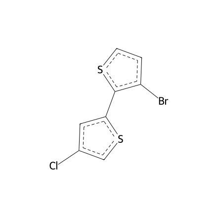 Clc1csc(-c2sccc2Br)c1